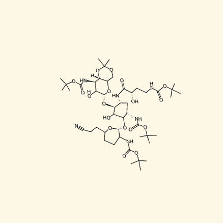 CC(C)(C)OC(=O)NCC[C@H](O)C(=O)N[C@@H]1C[C@H](NC(=O)OC(C)(C)C)C(O[C@H]2OC(CCC#N)CCC2NC(=O)OC(C)(C)C)C(O)[C@H]1O[C@H]1OC2COC(C)(C)O[C@H]2[C@H](NC(=O)OC(C)(C)C)C1O